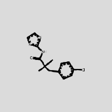 CC(C)(Cc1ccc(Cl)cc1)C(=O)Nc1nccs1